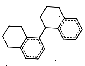 c1ccc2c(c1)CCCC2c1cccc2c1CCCC2